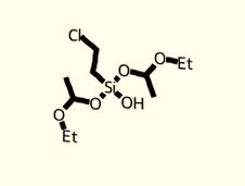 CCOC(C)O[Si](O)(CCCl)OC(C)OCC